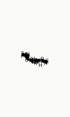 O=C(CCC(F)(F)F)NCc1cnn2cc(CNC(=O)c3cncc(C(F)F)c3)nc2c1